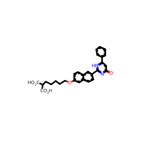 O=C(O)C(CCCCCOc1ccc2cc(-c3nc(=O)cc(-c4ccccc4)[nH]3)ccc2c1)C(=O)O